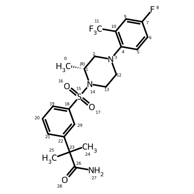 C[C@@H]1CN(c2ccc(F)cc2C(F)(F)F)CCN1S(=O)(=O)c1cccc(C(C)(C)C(N)=O)c1